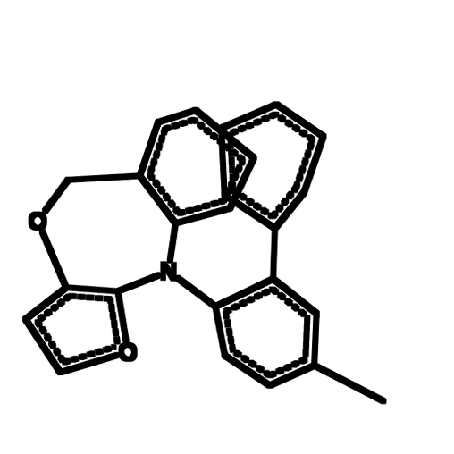 Cc1ccc(N2c3ccccc3COc3ccoc32)c(-c2ccccc2)c1